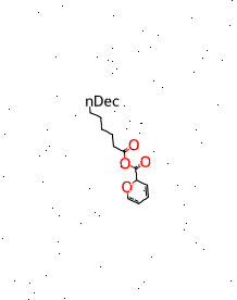 CCCCCCCCCCCCCCCC(=O)OC(=O)C1C=CC=CO1